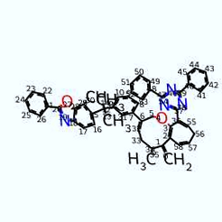 C=C1C2=C(OC/C(c3cccc(C(C)(C)c4ccc5nc(-c6ccccc6)oc5c4C)c3)=C\CC1C)C(c1nc(-c3ccccc3)nc(-c3ccccc3)n1)=CCC=C2